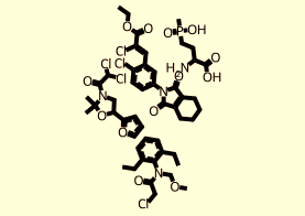 CC1(C)OC(c2ccco2)CN1C(=O)C(Cl)Cl.CCOC(=O)/C(Cl)=C/c1cc(N2C(=O)C3=C(CCCC3)C2=O)ccc1Cl.CCc1cccc(CC)c1N(COC)C(=O)CCl.CP(=O)(O)CCC(N)C(=O)O